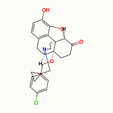 O=C1CC[C@@]2(OCc3ccc(Cl)cc3)[C@H]3Cc4ccc(O)c5c4[C@@]2(CCN3CC2CC2)[C@H]1O5